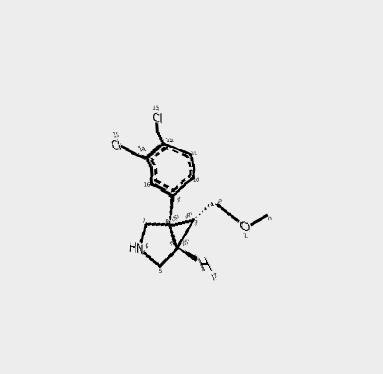 COC[C@@H]1[C@@H]2CNC[C@]12c1ccc(Cl)c(Cl)c1